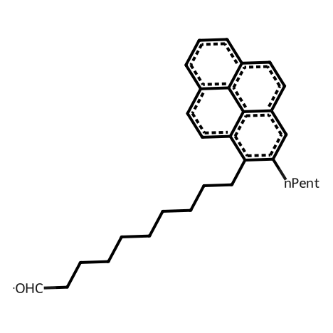 CCCCCc1cc2ccc3cccc4ccc(c1CCCCCCCCC[C]=O)c2c34